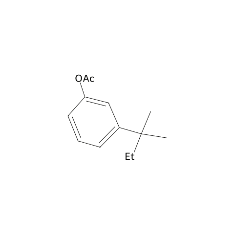 CCC(C)(C)c1cccc(OC(C)=O)c1